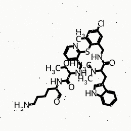 Cc1cc(Cl)cc(CNC(=O)C(Cc2c[nH]c3ccccc23)N(C)C)c1Sc1ncccc1CNC(C(=O)NC(C=O)CCCCN)C(C)O